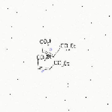 CCOC(=O)/C=C\C(=O)O.CCOC(=O)/C=C\C(=O)OCC